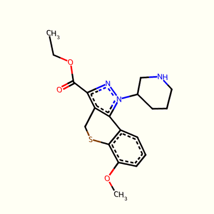 CCOC(=O)c1nn(C2CCCNC2)c2c1CSc1c(OC)cccc1-2